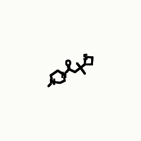 CN1CCN(C(=O)CC(C)(C)C2CCS2)CC1